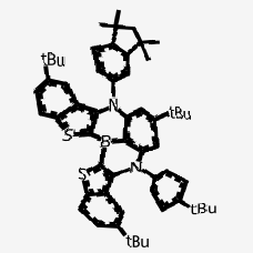 CC(C)(C)c1ccc(N2c3cc(C(C)(C)C)cc4c3B(c3sc5ccc(C(C)(C)C)cc5c32)c2sc3ccc(C(C)(C)C)cc3c2N4c2ccc3c(c2)C(C)(C)CC3(C)C)cc1